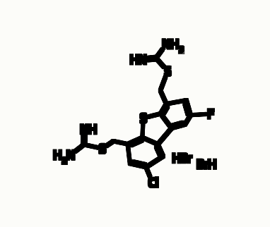 Br.Br.N=C(N)SCc1cc(F)cc2c1sc1c(CSC(=N)N)cc(Cl)cc12